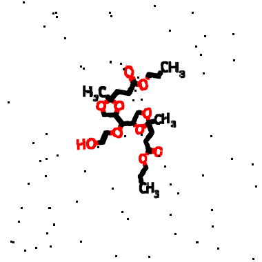 CCCOC(=O)CCC1(C)OCC(C(OCCO)C2COC(C)(CCC(=O)OCCC)O2)O1